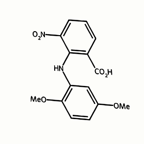 COc1ccc(OC)c(Nc2c(C(=O)O)cccc2[N+](=O)[O-])c1